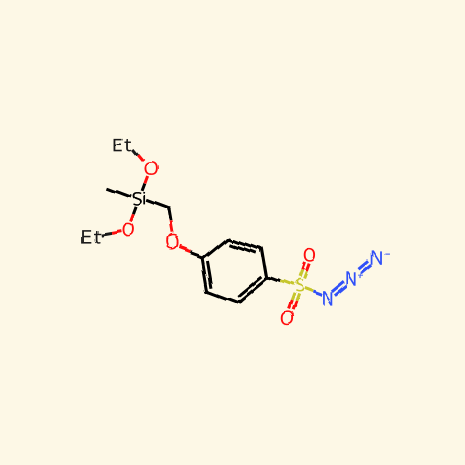 CCO[Si](C)(COc1ccc(S(=O)(=O)N=[N+]=[N-])cc1)OCC